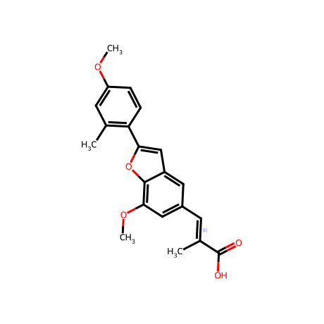 COc1ccc(-c2cc3cc(/C=C(\C)C(=O)O)cc(OC)c3o2)c(C)c1